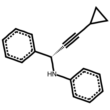 C(#C[C@H](Nc1ccccc1)c1ccccc1)C1CC1